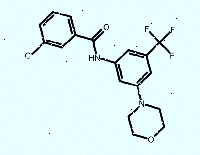 O=C(Nc1cc(N2CCOCC2)cc(C(F)(F)F)c1)c1cccc(Cl)c1